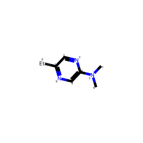 CCc1cnc(N(C)C)cn1